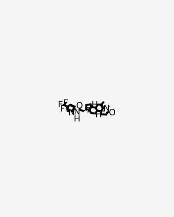 CC1=C2N(C)C(=O)CC[C@]2(C)[C@H]2CC[C@]3(C)[C@@H](CC(=O)Nc4ccc(C(F)(F)F)cn4)CC[C@H]3[C@@H]2C1